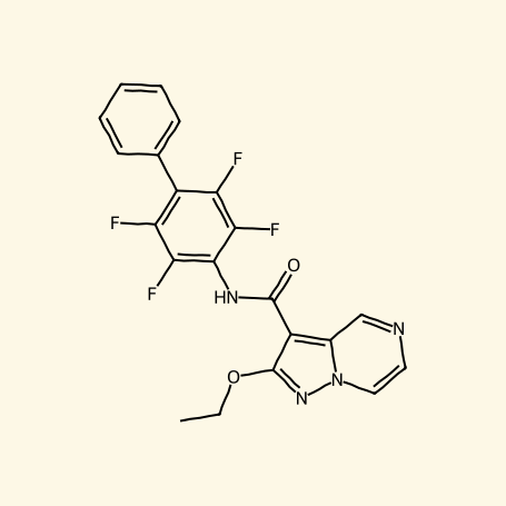 CCOc1nn2ccncc2c1C(=O)Nc1c(F)c(F)c(-c2ccccc2)c(F)c1F